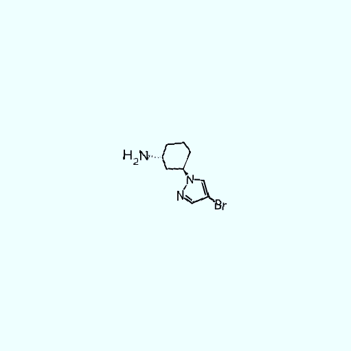 N[C@@H]1CCC[C@@H](n2cc(Br)cn2)C1